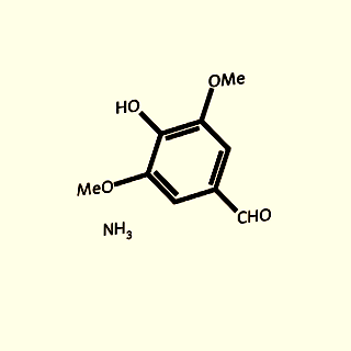 COc1cc(C=O)cc(OC)c1O.N